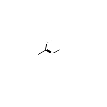 CN=C(C)[NH]